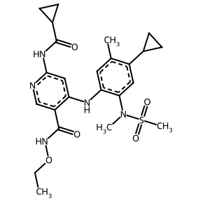 CCONC(=O)c1cnc(NC(=O)C2CC2)cc1Nc1cc(C)c(C2CC2)cc1N(C)S(C)(=O)=O